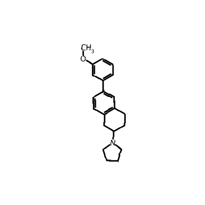 COc1cccc(-c2ccc3c(c2)CCC(N2CCCC2)C3)c1